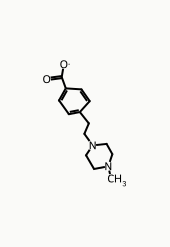 CN1CCN(CCc2ccc(C([O])=O)cc2)CC1